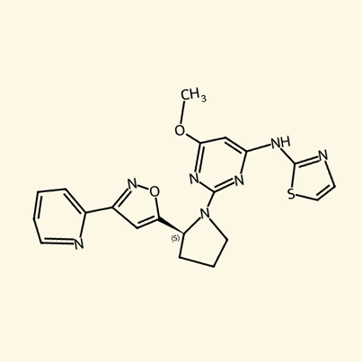 COc1cc(Nc2nccs2)nc(N2CCC[C@H]2c2cc(-c3ccccn3)no2)n1